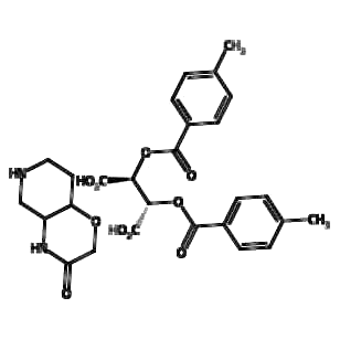 Cc1ccc(C(=O)O[C@H](C(=O)O)[C@H](OC(=O)c2ccc(C)cc2)C(=O)O)cc1.O=C1COC2CCNCC2N1